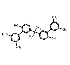 Cc1cc(C)cc(-c2cc(C(C)(C)c3ccc(O)c(-c4cc(C)cc(C)c4)c3)ccc2O)c1